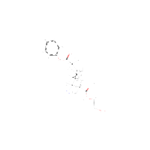 CCC(C)(C)CC(C)(C(=O)OCCO)C(C)(N)C(C)(C)CC(C)(C(=O)Oc1ccccc1)C(C)C